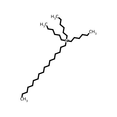 CCCCCCCCCCCCCCCCC[N+](CCCCCC)(CCCCCC)CCCCCC